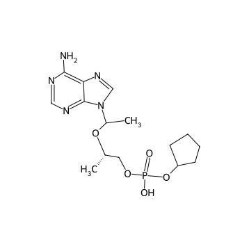 CC(O[C@@H](C)COP(=O)(O)OC1CCCC1)n1cnc2c(N)ncnc21